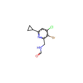 O=CNCc1nc(C2CC2)cc(Cl)c1Br